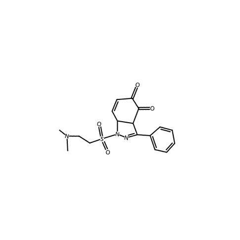 CN(C)CCS(=O)(=O)N1N=C(c2ccccc2)C2C(=O)C(=O)C=CC21